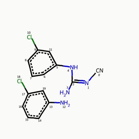 N#C/N=C(/N)Nc1cccc(Cl)c1.Nc1cccc(Cl)c1